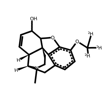 [2H]C([2H])([2H])Oc1ccc2c3c1OC1C(O)C=C[C@H]4[C@@H](C2)N(C)CC[C@]314